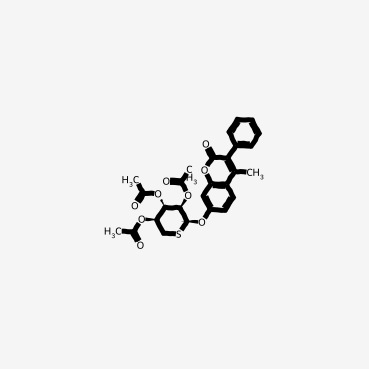 CC(=O)O[C@@H]1[C@@H](OC(C)=O)[C@@H](Oc2ccc3c(C)c(-c4ccccc4)c(=O)oc3c2)SC[C@H]1OC(C)=O